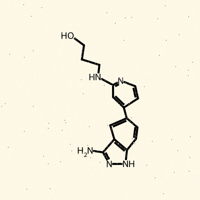 Nc1n[nH]c2ccc(-c3ccnc(NCCCO)c3)cc12